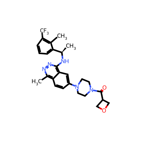 Cc1c([C@@H](C)Nc2nnc(C)c3ccc(N4CCN(C(=O)C5COC5)CC4)cc23)cccc1C(F)(F)F